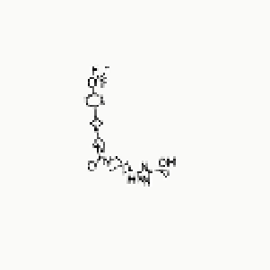 O=C(N1CC(C23CC(c4ccc(OC(F)(F)F)cc4)(C2)C3)C1)N1CC2(CC(c3nc(C4(O)CC4)n[nH]3)C2)C1